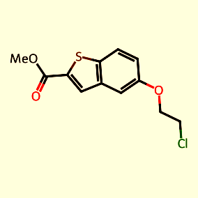 COC(=O)c1cc2cc(OCCCl)ccc2s1